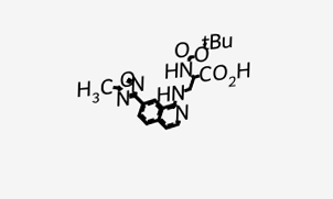 Cc1nc(-c2ccc3ccnc(NCC(NC(=O)OC(C)(C)C)C(=O)O)c3c2)no1